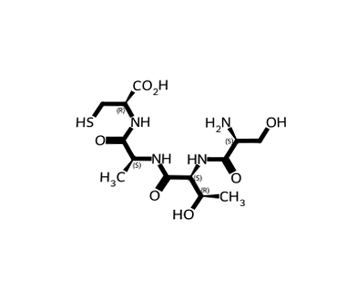 C[C@H](NC(=O)[C@@H](NC(=O)[C@@H](N)CO)[C@@H](C)O)C(=O)N[C@@H](CS)C(=O)O